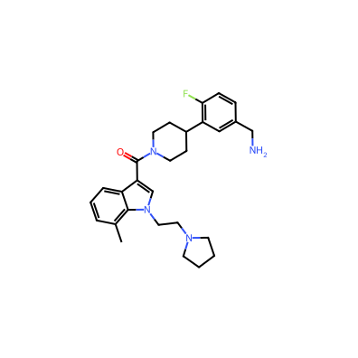 Cc1cccc2c(C(=O)N3CCC(c4cc(CN)ccc4F)CC3)cn(CCN3CCCC3)c12